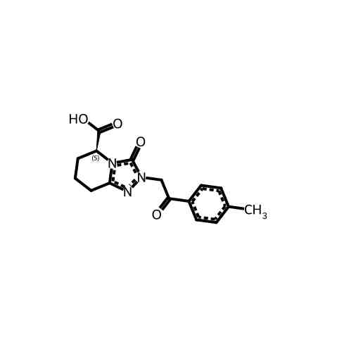 Cc1ccc(C(=O)Cn2nc3n(c2=O)[C@H](C(=O)O)CCC3)cc1